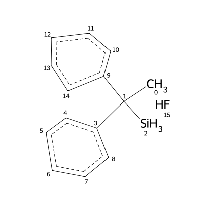 CC([SiH3])(c1ccccc1)c1ccccc1.F